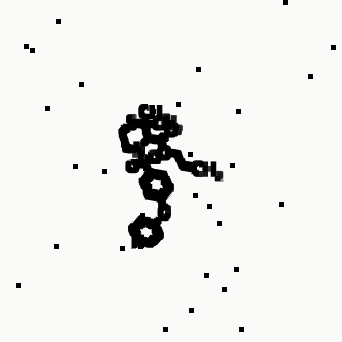 C=CCOC(=O)C1N(S(=O)(=O)c2ccc(Oc3ccncc3)cc2)CCSC1(C)C